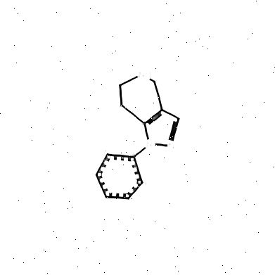 C1=N[N+](c2ccccc2)C2=C1CNCC2